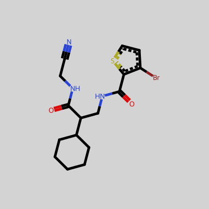 N#CCNC(=O)C(CNC(=O)c1sccc1Br)C1CCCCC1